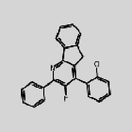 Fc1c(-c2ccccc2)nc2c(c1-c1ccccc1Cl)Cc1ccccc1-2